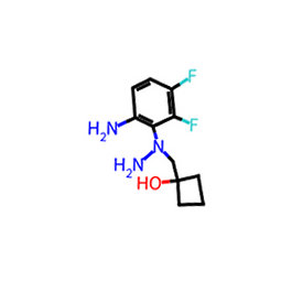 Nc1ccc(F)c(F)c1N(N)CC1(O)CCC1